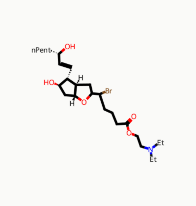 CCCCC[C@H](O)/C=C/[C@@H]1[C@H]2CC(C(Br)CCCC(=O)OCCN(CC)CC)O[C@@H]2C[C@H]1O